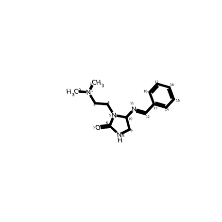 CN(C)CCN1C(=O)NCC1N=Cc1ccccc1